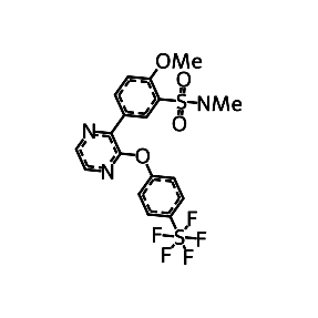 CNS(=O)(=O)c1cc(-c2nccnc2Oc2ccc(S(F)(F)(F)(F)F)cc2)ccc1OC